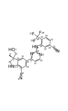 C[C@]1(CO)CNc2c(C#N)cc(-c3ccnc(Nc4cc(C#N)ccc4C(F)(F)F)n3)cc21